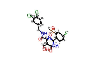 CS(=O)(=O)c1cc(F)ccc1-c1nc(C(=O)NCc2ccc(Cl)c(Cl)c2)c(CO)c(=O)[nH]1